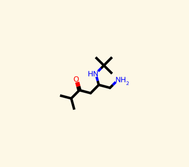 CC(C)C(=O)CC(CN)NC(C)(C)C